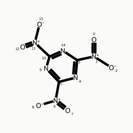 O=[N+]([O-])c1nc([N+](=O)[O-])nc([N+](=O)[O-])n1